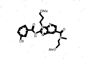 COCCCn1c(NC(=O)c2cccc(C#N)c2)nc2cc(C(=O)N(C)CCOC)cnc21